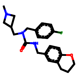 CN1CC(CN(Cc2ccc(F)cc2)C(=O)NCc2ccc3c(c2)CCCO3)C1